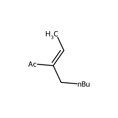 CC=C(CCCCC)C(C)=O